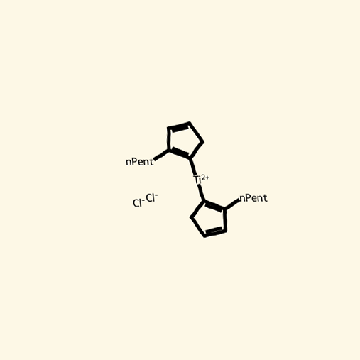 CCCCCC1=[C]([Ti+2][C]2=C(CCCCC)C=CC2)CC=C1.[Cl-].[Cl-]